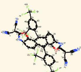 N#CC(C#N)=c1nc2ccc3c(-c4ccc(C(F)(F)F)cc4C(F)(F)F)c4c(ccc5nc(=C(C#N)C#N)oc54)c(-c4ccc(C(F)(F)F)cc4C(F)(F)F)c3c2o1